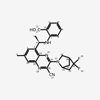 Cc1cc([C@@H](C)Nc2ccccc2C(=O)O)c2nc(N3CC4CC3CC4(F)F)c(C#N)nc2c1